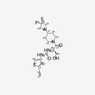 C#Cc1nc(NC(=O)N[C@H](CO)C(=O)N2CCC(N3CC(F)(F)C3)CC2)cs1